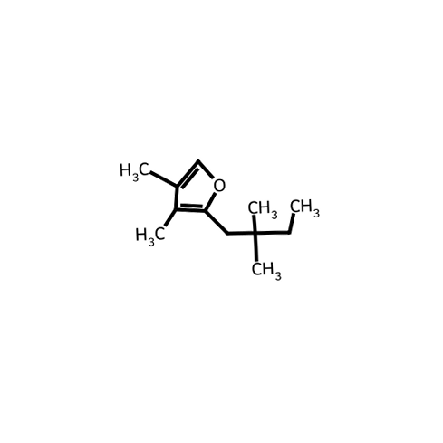 CCC(C)(C)Cc1occ(C)c1C